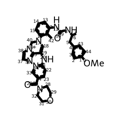 COc1ccc(CC(C)NC(=O)Nc2cccc(N3C=C(Nc4ccc(C(=O)N5CCOCC5)cn4)C4=NC=C[N+]4C3)c2C)cc1